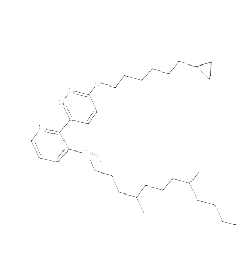 CCCCCC(C)CCCC(C)CCC[SiH2]c1cccnc1-c1ccc(OCCCCCCC2CC2)nn1